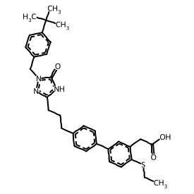 CCSc1ccc(-c2ccc(CCCc3nn(Cc4ccc(C(C)(C)C)cc4)c(=O)[nH]3)cc2)cc1CC(=O)O